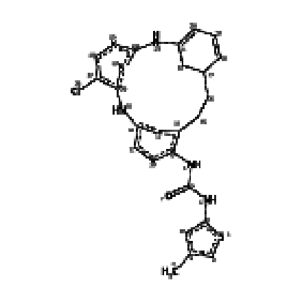 Cc1csc(NC(=O)Nc2ccc3cc2CCC2C=CC=C(C2)Nc2ncc(Cl)c(n2)N3)c1